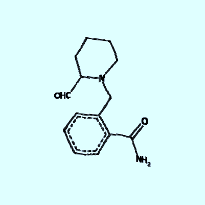 NC(=O)c1ccccc1CN1CCCCC1C=O